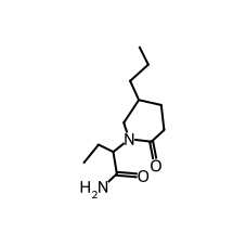 CCCC1CCC(=O)N(C(CC)C(N)=O)C1